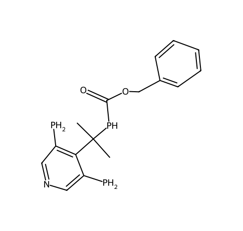 CC(C)(PC(=O)OCc1ccccc1)c1c(P)cncc1P